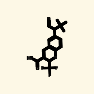 CC(C)(C)C(C=O)c1ccc2c(c1)C=C(C(=O)O)C(C(F)(F)F)O2